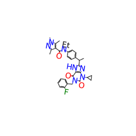 CCN(C(=O)c1c(C)nn(C)c1C)c1ccc(C(C)c2nc3c([nH]2)c(=O)n(Cc2ccccc2F)c(=O)n3C2CC2)cc1